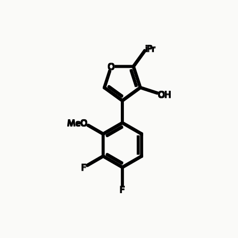 COc1c(-c2coc(C(C)C)c2O)ccc(F)c1F